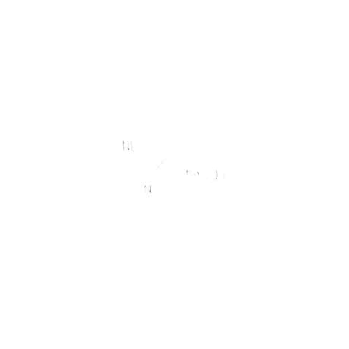 CCOC(=O)c1oc(CN)nc1C